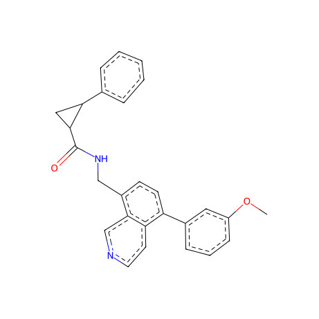 COc1cccc(-c2ccc(CNC(=O)C3CC3c3ccccc3)c3cnccc23)c1